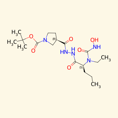 CCC[C@@H](C(=O)NNC(=O)[C@@H]1CCN(C(=O)OC(C)(C)C)C1)N(CC)C(=O)NO